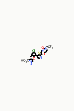 Cc1cc(Cl)cc(-c2ccnc3cc(Cn4c(=O)ccn(CC(F)(F)F)c4=O)sc23)c1O[C@@H]1CN[C@@H](C(=O)O)C1